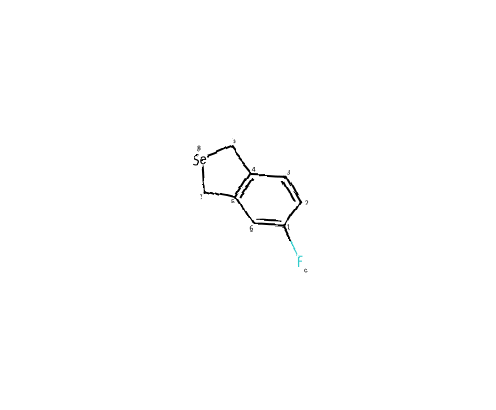 Fc1ccc2c(c1)C[Se]C2